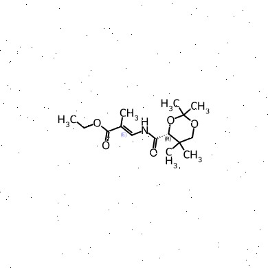 CCOC(=O)/C(C)=C/NC(=O)[C@@H]1OC(C)(C)OCC1(C)C